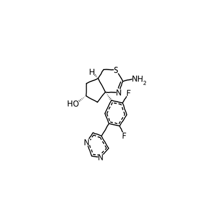 NC1=N[C@@]2(c3cc(-c4cncnc4)c(F)cc3F)C[C@H](O)C[C@H]2CS1